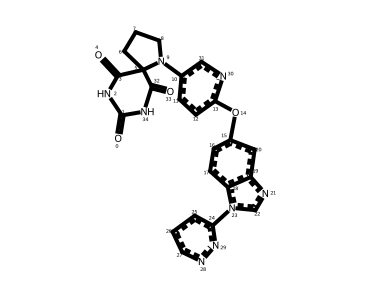 O=C1NC(=O)C2(CCCN2c2ccc(Oc3ccc4c(c3)ncn4-c3cccnn3)nc2)C(=O)N1